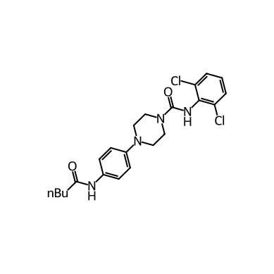 CCCCC(=O)Nc1ccc(N2CCN(C(=O)Nc3c(Cl)cccc3Cl)CC2)cc1